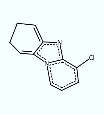 Clc1cccn2c3c(nc12)=CCCC=3